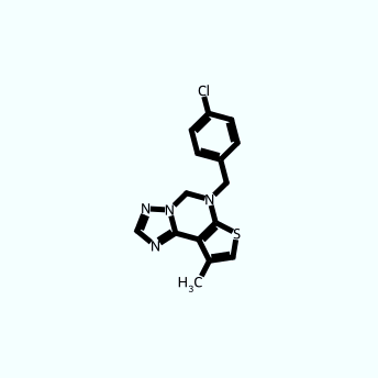 Cc1csc2c1-c1ncnn1CN2Cc1ccc(Cl)cc1